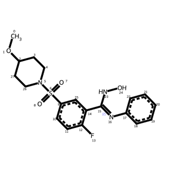 COC1CCN(S(=O)(=O)c2ccc(F)c(/C(=N/c3ccccc3)NO)c2)CC1